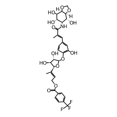 CC(=Cc1ccc(O[C@H]2O[C@@H](C(C)=CCOC(=O)c3ccc(C(F)(F)F)cc3)[C@@H](O)[C@@H]2O)c(O)c1)C(=O)N[C@@H]1[C@H](O)[C@@H](O)[C@H]2OCO[C@H]2[C@@H]1O